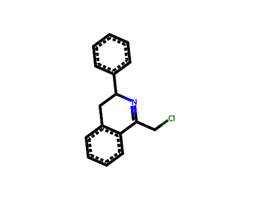 ClCC1=NC(c2ccccc2)Cc2ccccc21